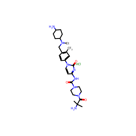 CCN(Cc1ccc(-n2ccc(NC(=O)N3CCN(C(=O)C(C)(C)N)CC3)nc2=O)cc1C(F)(F)F)C1CCC(N)CC1.Cl